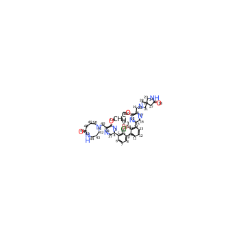 COc1nc(-c2cccc(-c3cccc(-c4cnc(CN5CC6(CNC(=O)C6)C5)c(OC)n4)c3Br)c2Cl)cnc1CN1CCCNC(=O)CCC1